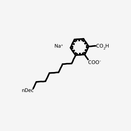 CCCCCCCCCCCCCCCCc1cccc(C(=O)O)c1C(=O)[O-].[Na+]